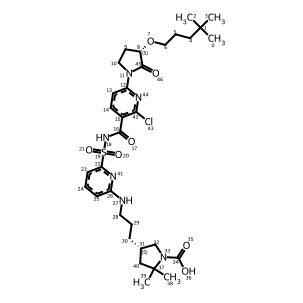 CC(C)(C)CCCO[C@H]1CCN(c2ccc(C(=O)NS(=O)(=O)c3cccc(NCCC[C@@H]4CN(C(=O)O)C(C)(C)C4)n3)c(Cl)n2)C1=O